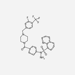 NN(c1ccc(C(=O)N2CCN(Cc3ccc(C(F)(F)F)c(F)c3)CC2)cc1)S(=O)(=O)c1cccc2cccnc12